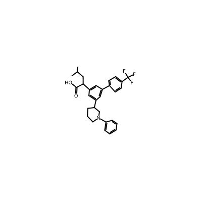 CC(C)CC(C(=O)O)c1cc(-c2ccc(C(F)(F)F)cc2)cc(C2CCCN(c3ccccc3)C2)c1